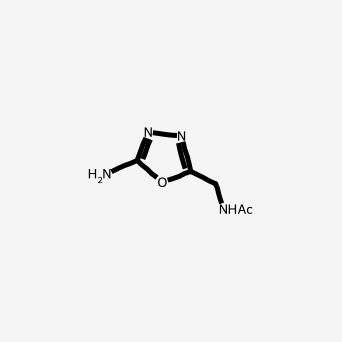 CC(=O)NCc1nnc(N)o1